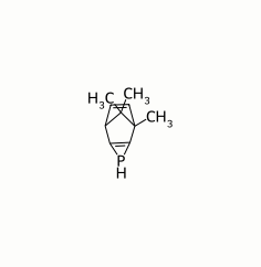 CC12C=CC(C3=C1P3)C2(C)C